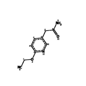 N#CCOc1ccc([CH]C(N)=O)cn1